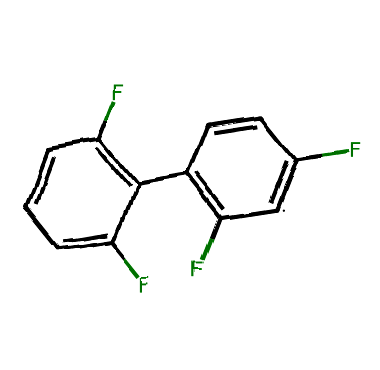 Fc1[c]c(F)c(-c2c(F)cccc2F)cc1